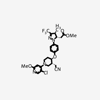 COC(=O)C[C@H]1[C@H](C)C(C(F)(F)F)=NN1c1ccc(O[C@@H]2CCN(c3cc(OC)ncc3Cl)C[C@H]2CC#N)cc1